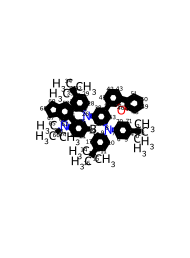 CC(C)(C)c1ccc(N2c3ccc(C(C)(C)C)cc3B3c4ccc5c(c4N(c4ccc(C(C)(C)C)cc4)c4cc(-c6cccc7c6oc6ccccc67)cc2c43)c2ccc3c(c2n5C(C)(C)C)CCC3)cc1